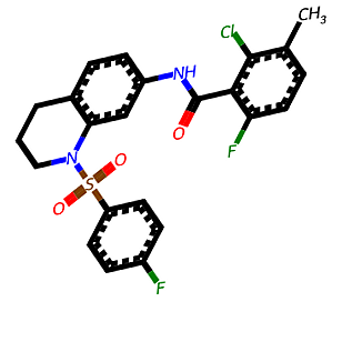 Cc1ccc(F)c(C(=O)Nc2ccc3c(c2)N(S(=O)(=O)c2ccc(F)cc2)CCC3)c1Cl